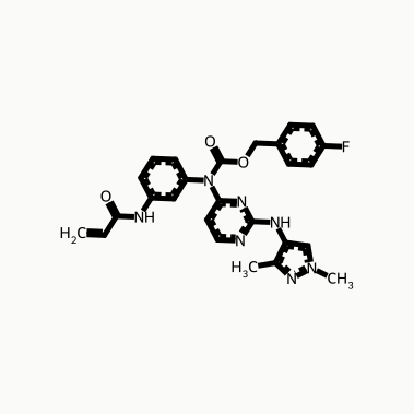 C=CC(=O)Nc1cccc(N(C(=O)OCc2ccc(F)cc2)c2ccnc(Nc3cn(C)nc3C)n2)c1